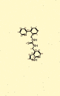 S=C(NCc1ccccc1-c1ccccn1)NCc1ccnc2[nH]ccc12